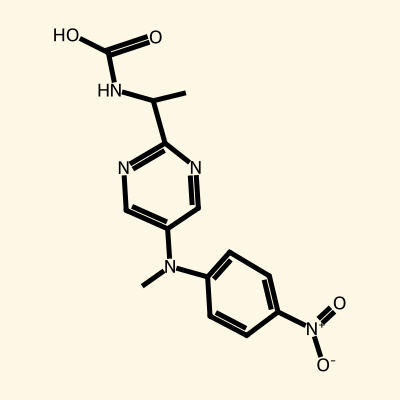 CC(NC(=O)O)c1ncc(N(C)c2ccc([N+](=O)[O-])cc2)cn1